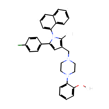 COc1ccccc1N1CCN(Cc2cc(-c3ccc(Cl)cc3)n(-c3cccc4ccccc34)c2C)CC1